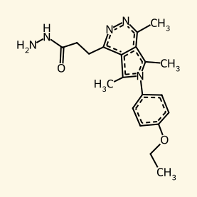 CCOc1ccc(-n2c(C)c3c(C)nnc(CCC(=O)NN)c3c2C)cc1